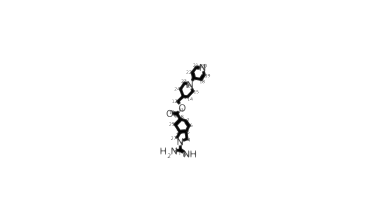 N=C(N)N1Cc2ccc(C(=O)OCC3CCN(c4ccncc4)CC3)cc2C1